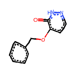 O=c1[nH]nccc1OCc1ccccc1